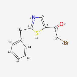 O=C(CBr)c1cnc(Cc2ccccc2)s1